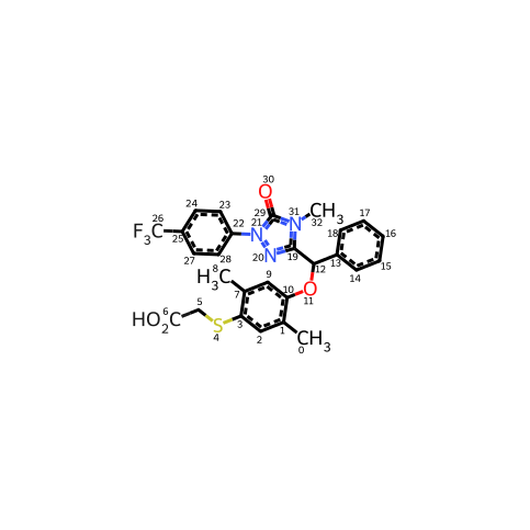 Cc1cc(SCC(=O)O)c(C)cc1OC(c1ccccc1)c1nn(-c2ccc(C(F)(F)F)cc2)c(=O)n1C